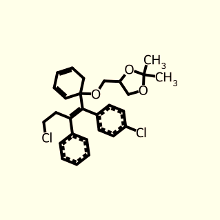 CC1(C)OCC(COC2(C(=C(CCCl)c3ccccc3)c3ccc(Cl)cc3)C=CC=CC2)O1